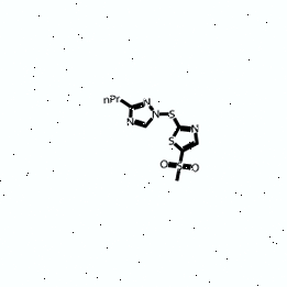 CCCc1ncn(Sc2ncc(S(C)(=O)=O)s2)n1